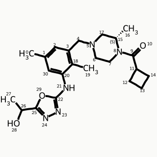 Cc1cc(CN2CCN(C(=O)C3CCC3)[C@@H](C)C2)c(C)c(Nc2nnc(C(C)O)o2)c1